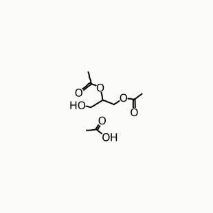 CC(=O)O.CC(=O)OCC(CO)OC(C)=O